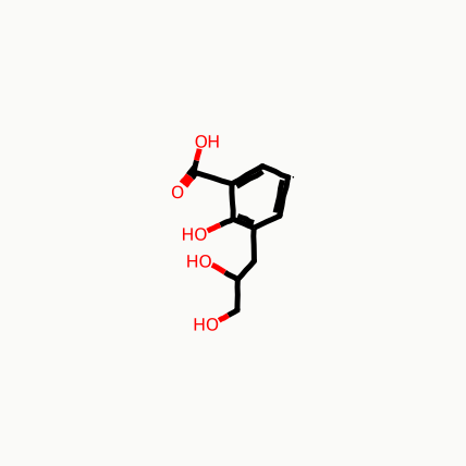 O=C(O)c1c[c]cc(CC(O)CO)c1O